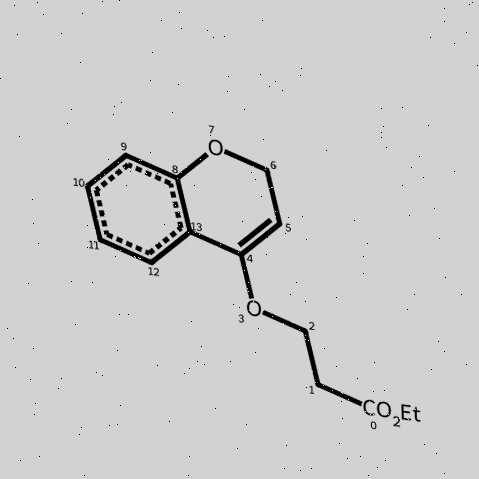 CCOC(=O)CCOC1=CCOc2ccccc21